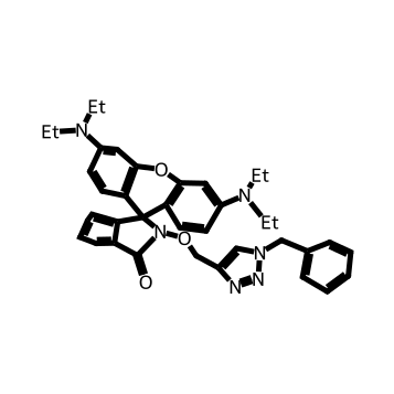 CCN(CC)c1ccc2c(c1)Oc1cc(N(CC)CC)ccc1C21c2ccccc2C(=O)N1OCc1cn(Cc2ccccc2)nn1